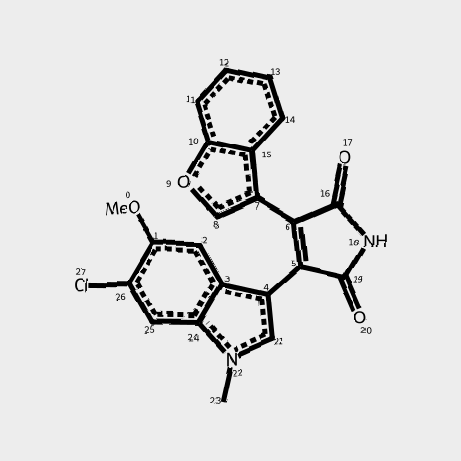 COc1cc2c(C3=C(c4coc5ccccc45)C(=O)NC3=O)cn(C)c2cc1Cl